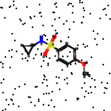 COc1ccc(S(=O)(=O)N[C]2CC2)cc1